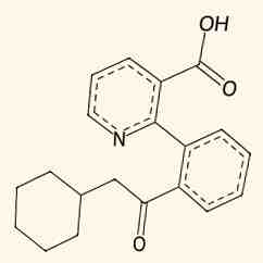 O=C(CC1CCCCC1)c1ccccc1-c1ncccc1C(=O)O